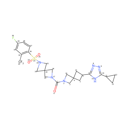 O=C(N1CC2(CC(c3nnc(C4CC4)[nH]3)C2)C1)N1CC2(C1)CN(S(=O)(=O)c1ccc(F)cc1C(F)(F)F)C2